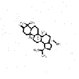 C=C(C)[C@@H]1CC[C@]2(CO)CC[C@@]3(C)C(CCC4[C@@]5(C)CCC(=O)C(C)(C)C5CC[C@]43C)C12